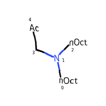 CCCCCCCCN(CCCCCCCC)CC(C)=O